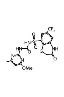 COc1cc(C)nc(NC(=O)NS(=O)(=O)c2cc(C(F)(F)F)cc3c2SCC(=O)N3)n1